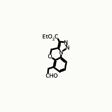 CCOC(=O)c1nnn2c1COc1c(CC=O)cccc1-2